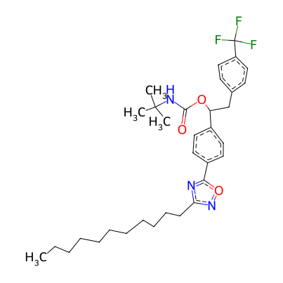 CCCCCCCCCCCc1noc(-c2ccc(C(Cc3ccc(C(F)(F)F)cc3)OC(=O)NC(C)(C)C)cc2)n1